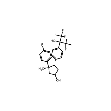 C[C@]1(c2ccc(F)cc2)CC(O)C[C@H]1c1ccc(C(O)(C(F)(F)F)C(F)(F)F)cc1